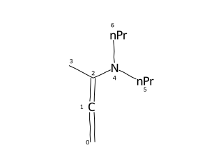 C=C=C(C)N(CCC)CCC